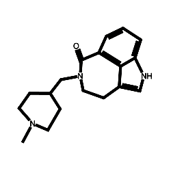 CN1CCC(CN2CCc3c[nH]c4cccc(c34)C2=O)CC1